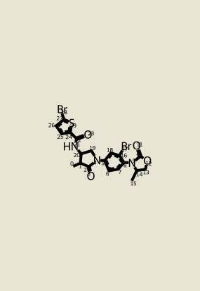 CC1C(=O)N(c2ccc(N3C(=O)OCC3C)c(Br)c2)CC1NC(=O)c1ccc(Br)s1